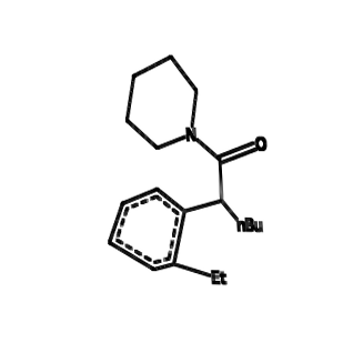 CCCCC(C(=O)N1CCCCC1)c1ccccc1CC